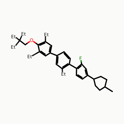 CCc1cc(-c2cc(CC)c(OCC(CC)(CC)CC)c(CC)c2)ccc1-c1ccc(C2CCC(C)CC2)cc1F